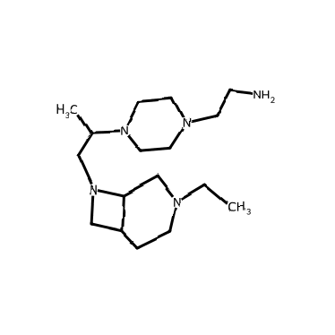 CCN1CCC2CN(CC(C)N3CCN(CCN)CC3)C2C1